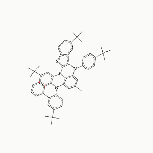 Cc1cc2c3c(c1)N(c1ccc(C(C)(C)C)cc1)c1c(sc4ccc(C(C)(C)C)cc14)B3c1cc(C(C)(C)C)ccc1N2c1ccc(C(C)(C)C)cc1-c1ccccc1